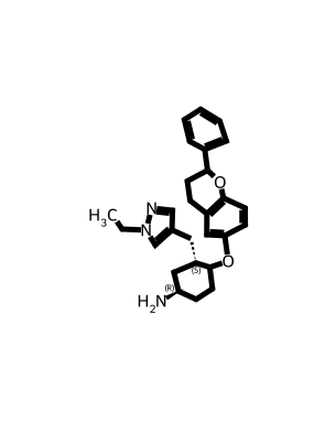 CCn1cc(C[C@H]2C[C@H](N)CCC2Oc2ccc3c(c2)CCC(c2ccccc2)O3)cn1